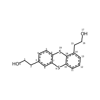 OCCc1ccc2c(c1)Sc1cccc(CCO)c1S2